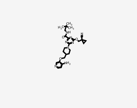 CC(C)(C)CNC(=O)c1nc(OCC2(C#N)CC2)nc(N2CCC(COc3cnccc3N)CC2)n1